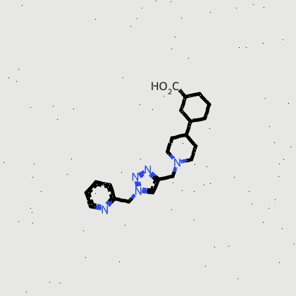 O=C(O)C1CCCC(C2CCN(Cc3cn(Cc4ccccn4)nn3)CC2)C1